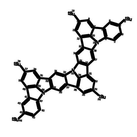 CC(C)(C)c1ccc2c(c1)c1cc(C(C)(C)C)cc3c4cc5c(cc4n2c13)c1cc(C(C)(C)C)cc2c3cc4c(cc3n5c12)c1cc(C(C)(C)C)cc2c3cc(C(C)(C)C)ccc3n4c21